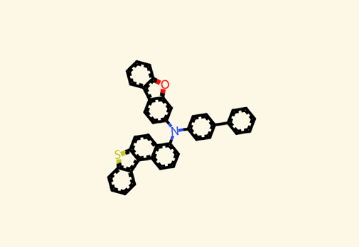 c1ccc(-c2ccc(N(c3ccc4c(c3)oc3ccccc34)c3cccc4c3ccc3sc5ccccc5c34)cc2)cc1